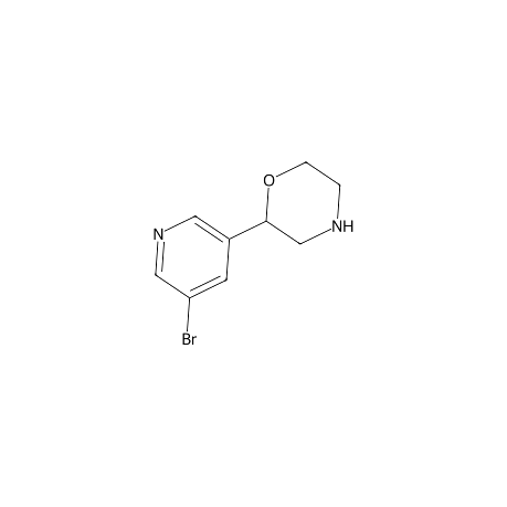 Brc1cncc(C2CNCCO2)c1